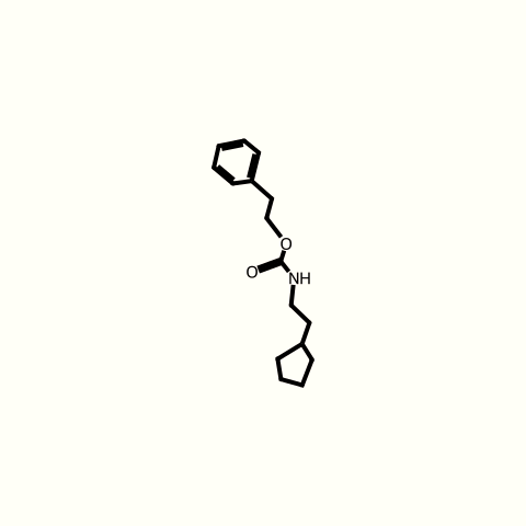 O=C(NCCC1CCCC1)OCCc1ccccc1